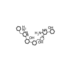 Nc1nnc(-c2cccc(-c3cccc(CC4(O)CCN(c5cc(-c6ccccc6O)nnc5N)C4)c3)c2O)cc1Cc1ccccc1